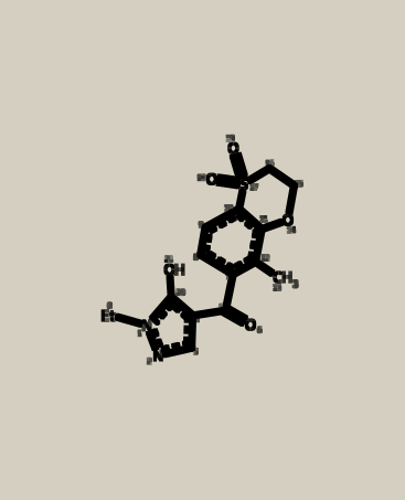 CCn1ncc(C(=O)c2ccc3c(c2C)OCCS3(=O)=O)c1O